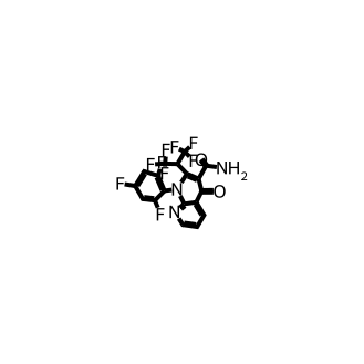 NC(=O)c1c(C(C(F)(F)F)C(F)(F)F)n(-c2c(F)cc(F)cc2F)c2ncccc2c1=O